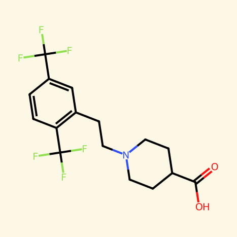 O=C(O)C1CCN(CCc2cc(C(F)(F)F)ccc2C(F)(F)F)CC1